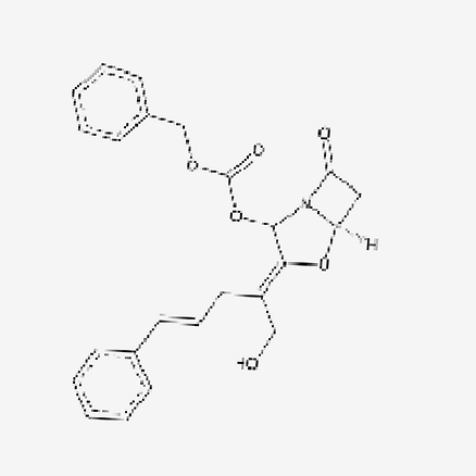 O=C(OCc1ccccc1)OC1C(=C(CO)CC=Cc2ccccc2)O[C@@H]2CC(=O)N12